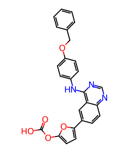 O=C(O)Oc1ccc(-c2ccc3ncnc(Nc4ccc(OCc5ccccc5)cc4)c3c2)o1